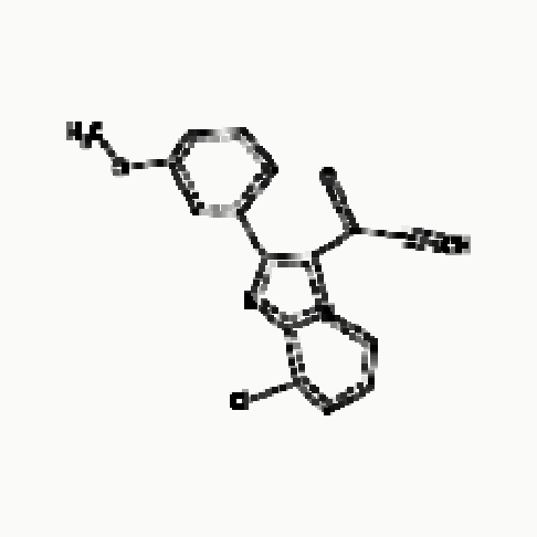 C#CC(=O)c1c(-c2cccc(OC)c2)nc2c(Cl)cccn12